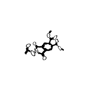 COC(=O)c1cc2c(cc1C(=O)OC)C(=O)N(OC(C)=O)C2=O